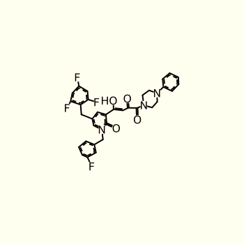 O=C(/C=C(\O)c1cc(Cc2c(F)cc(F)cc2F)cn(Cc2cccc(F)c2)c1=O)C(=O)N1CCN(c2ccccc2)CC1